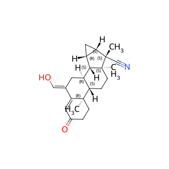 C[C@]12CCC(=O)C=C1C(=CO)C[C@H]1[C@@H]3[C@@H]4C[C@@H]4[C@](C)(C#N)[C@@]3(C)CC[C@@H]12